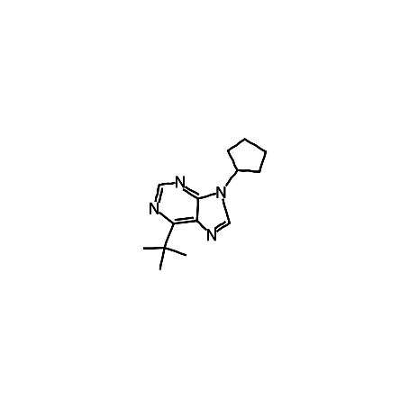 CC(C)(C)c1ncnc2c1ncn2C1CCCC1